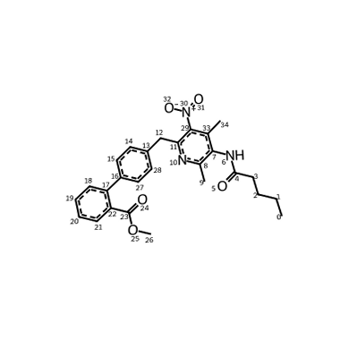 CCCCC(=O)Nc1c(C)nc(Cc2ccc(-c3ccccc3C(=O)OC)cc2)c([N+](=O)[O-])c1C